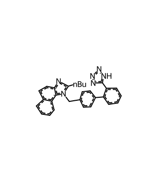 CCCCc1nc2ccc3ccccc3c2n1Cc1ccc(-c2ccccc2-c2nnn[nH]2)cc1